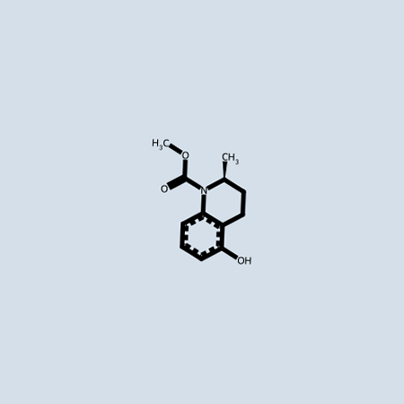 COC(=O)N1c2cccc(O)c2CC[C@@H]1C